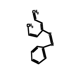 C=C/C=C(\C=C/C)/N=N\c1ccccc1